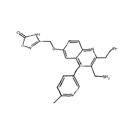 Cc1ccc(-c2c(CN)c(CC(C)C)nc3ccc(OCc4noc(=O)[nH]4)cc23)cc1